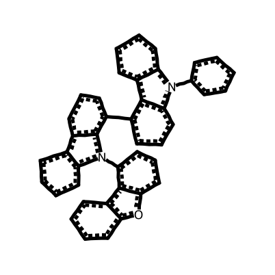 c1ccc(-n2c3ccccc3c3c(-c4cccc5c6ccccc6n(-c6cccc7oc8ccccc8c67)c45)cccc32)cc1